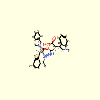 CCN(NCC[C@H](C(=O)O)c1cn(C)c2ccccc12)[C@@H](Cc1ccccc1)C(=O)N(C)Cc1ccccc1